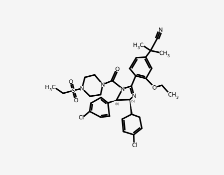 CCOc1cc(C(C)(C)C#N)ccc1C1=N[C@@H](C2C=CC(Cl)=CC2)[C@@H](c2ccc(Cl)cc2)N1C(=O)N1CCN(S(=O)(=O)CC)CC1